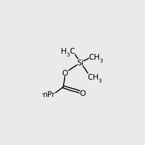 CC[CH]C(=O)O[Si](C)(C)C